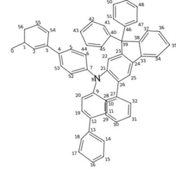 CC1C=C(c2ccc(N(c3ccc(-c4ccccc4)cc3)c3cc4c(cc3-c3ccccc3)-c3ccccc3C4(c3ccccc3)c3ccccc3)cc2)C=CC1